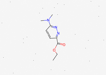 CCOC(=O)c1ccc(N(C)C)nn1